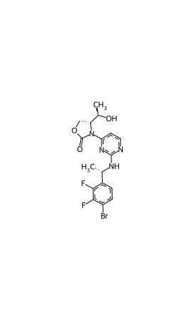 C[C@H](Nc1nccc(N2C(=O)OC[C@@H]2[C@@H](C)O)n1)c1ccc(Br)c(F)c1F